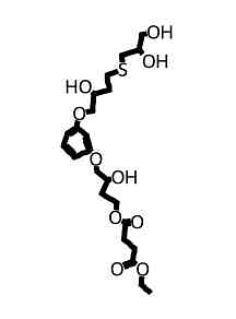 CCOC(=O)CCC(=O)OCCC(O)COc1cccc(OCC(O)CCSCC(O)CO)c1